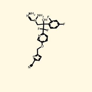 N#Cc1ccc(COc2ccc(C(F)(F)C(O)(CN(N)/C=N\N)c3ccc(F)cc3F)nc2)s1